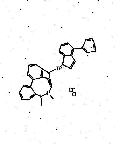 Cp1c2cc3c(cccc3c3ccccc3p1C)[CH]2[Ti+2][CH]1C=Cc2c(-c3ccccc3)cccc21.[Cl-].[Cl-]